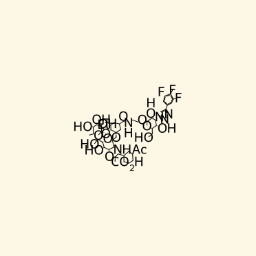 CCC1CC(C(=O)NCCO[C@H]2OC(CO)[C@@H](O)C(n3cc(-c4cc(F)c(F)c(F)c4)nn3)C2O)C[C@@H](O[C@@H]2OC(CO)[C@H](O)C(O[C@@H](CC3CCCCC3)C(=O)O)C2NC(C)=O)C1O[C@@H]1OC(C)[C@@H](O)C(O)C1O